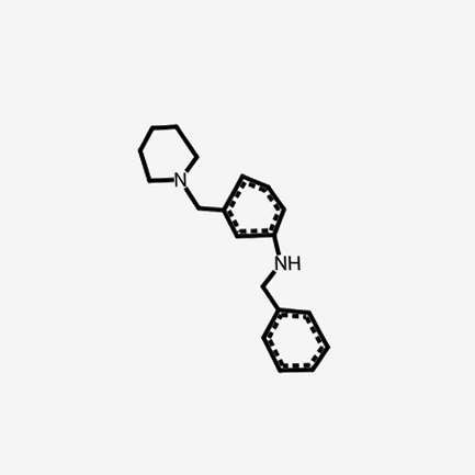 c1ccc(CNc2cccc(CN3CCCCC3)c2)cc1